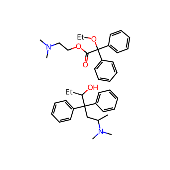 CCC(O)C(CC(C)N(C)C)(c1ccccc1)c1ccccc1.CCOC(C(=O)OCCN(C)C)(c1ccccc1)c1ccccc1